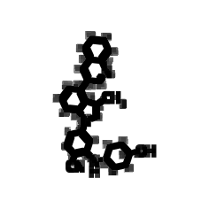 Cc1cn(-c2ccc(C#N)c(N[C@H]3CC[C@H](O)CC3)c2)c2cccc(-c3cnc4ccccc4c3)c12